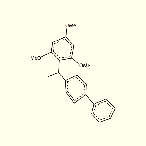 COc1cc(OC)c([C](C)c2ccc(-c3ccccc3)cc2)c(OC)c1